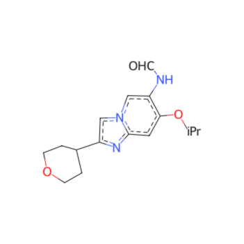 CC(C)Oc1cc2nc(C3CCOCC3)cn2cc1NC=O